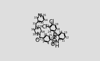 O=C(c1ccc(S(=O)(=O)Nc2ccccc2Oc2ccc(Cl)c(Cl)c2)cc1)N1CCN(Cc2cccnc2)CC1